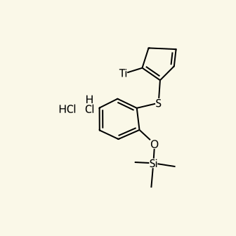 C[Si](C)(C)Oc1ccccc1SC1=[C]([Ti])CC=C1.Cl.Cl